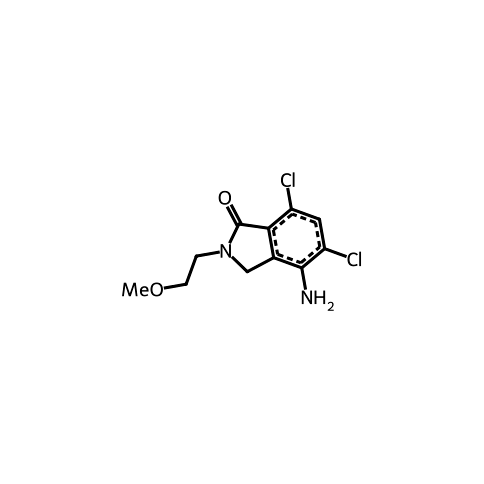 COCCN1Cc2c(N)c(Cl)cc(Cl)c2C1=O